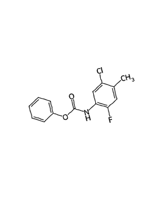 Cc1cc(F)c(NC(=O)Oc2ccccc2)cc1Cl